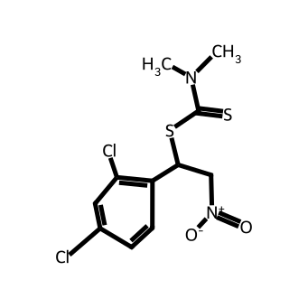 CN(C)C(=S)SC(C[N+](=O)[O-])c1ccc(Cl)cc1Cl